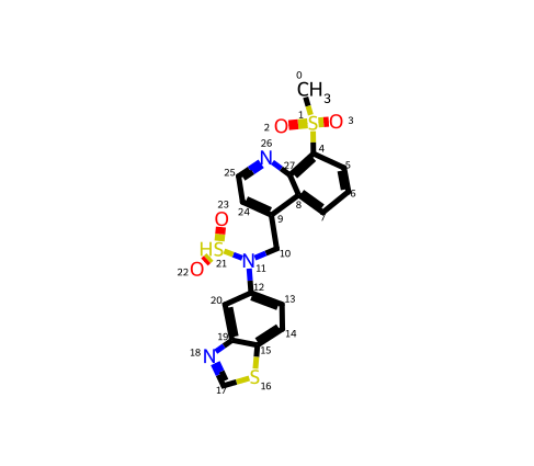 CS(=O)(=O)c1cccc2c(CN(c3ccc4scnc4c3)[SH](=O)=O)ccnc12